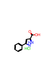 Cl.O=C(O)c1cc(-c2ccccc2)[nH]n1